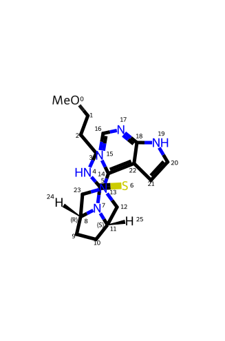 COCCCNC(=S)N1[C@@H]2CC[C@H]1CN(c1ncnc3[nH]ccc13)C2